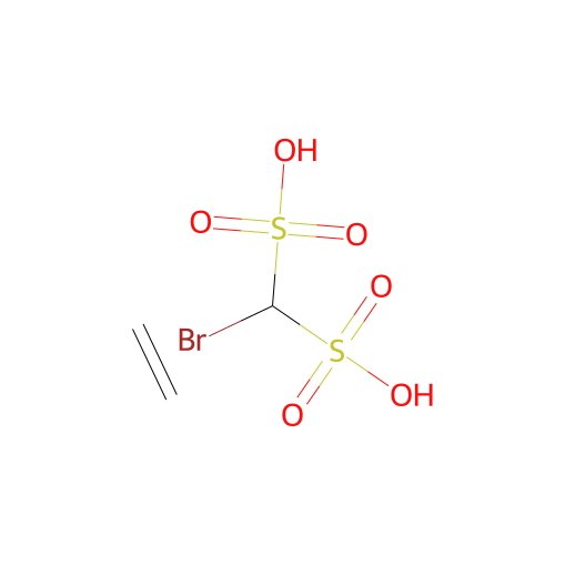 C=C.O=S(=O)(O)C(Br)S(=O)(=O)O